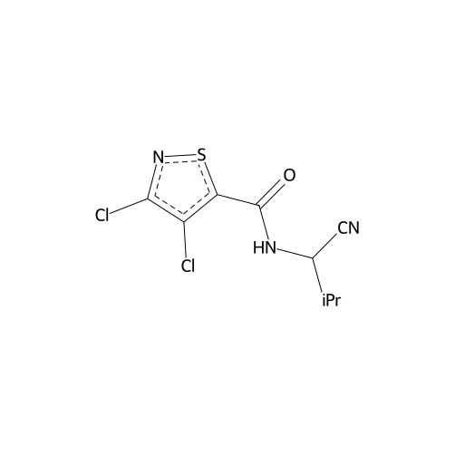 CC(C)C(C#N)NC(=O)c1snc(Cl)c1Cl